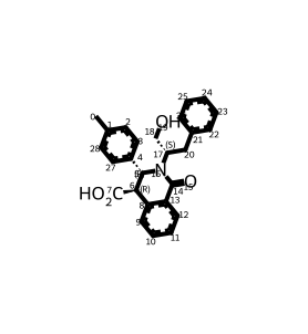 Cc1ccc([C@H]2[C@H](C(=O)O)c3ccccc3C(=O)N2[C@H](CO)Cc2ccccc2)cc1